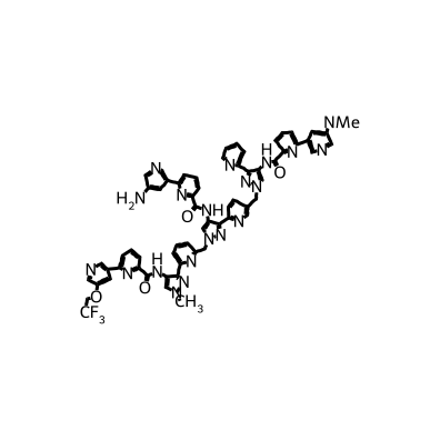 CNc1cncc(-c2cccc(C(=O)Nc3cn(Cc4ccc(-c5nn(Cc6cccc(-c7nn(C)cc7NC(=O)c7cccc(-c8cncc(OCC(F)(F)F)c8)n7)n6)cc5NC(=O)c5cccc(-c6cncc(N)c6)n5)nc4)nc3-c3ccccn3)n2)c1